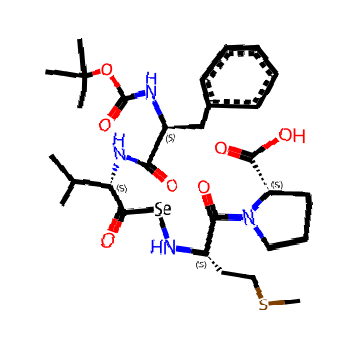 CSCC[C@H](N[Se]C(=O)[C@@H](NC(=O)[C@H](Cc1ccccc1)NC(=O)OC(C)(C)C)C(C)C)C(=O)N1CCC[C@H]1C(=O)O